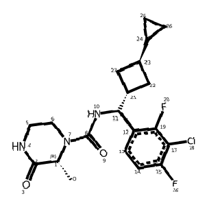 C[C@@H]1C(=O)NCCN1C(=O)NC(c1ccc(F)c(Cl)c1F)[C@H]1C[C@H](C2CC2)C1